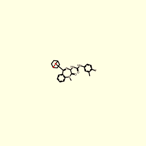 Cc1cc(NC(=O)NC2N=C(N3CC4CCC(CC4)C3)c3ccccc3N(C)C2=O)ccc1F